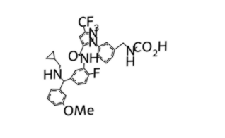 COc1cccc(C(NCC2CC2)c2ccc(F)c(NC(=O)c3cc(C(F)(F)F)nn3-c3cccc(CNC(=O)O)c3)c2)c1